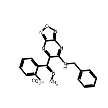 N/N=C(\c1ccccc1C(=O)O)c1nc2nonc2nc1NCc1ccccc1